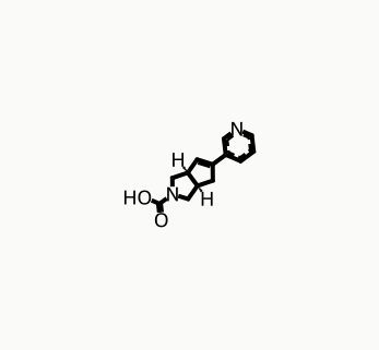 O=C(O)N1C[C@@H]2CC(c3cccnc3)=C[C@@H]2C1